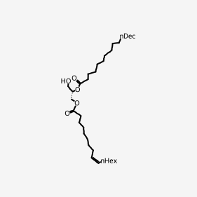 CCCCCC/C=C\CCCCCCCC(=O)OC[C@H](CO)OC(=O)CCCCCCCCCCCCCCCCCCC